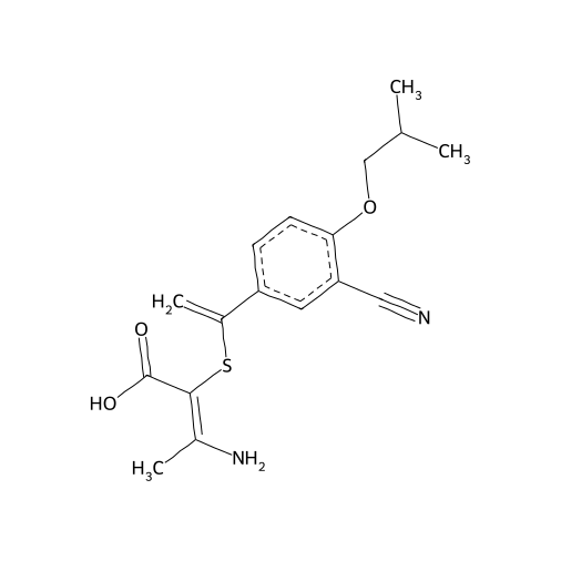 C=C(S/C(C(=O)O)=C(/C)N)c1ccc(OCC(C)C)c(C#N)c1